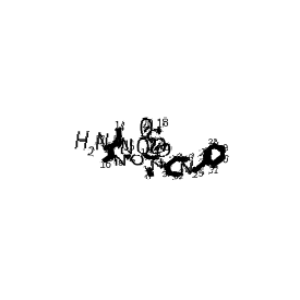 CCN(C(=O)C(Oc1nc(C)c(N)c(C)n1)OS(C)(=O)=O)C1CCN(Cc2ccccc2)CC1